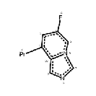 CC(C)c1cc(F)cn2cncc12